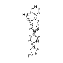 Cc1cnccc1N1Cc2nn(-c3ccc(N4CC[C@H](F)C4)nc3)cc2C1=O